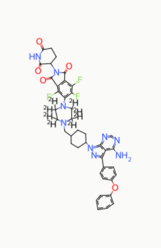 [2H]C1([2H])N(CC2CCC(n3nc(-c4ccc(Oc5ccccc5)cc4)c4c(N)ncnc43)CC2)C([2H])([2H])C([2H])([2H])N(c2c(F)c(F)c3c(c2F)C(=O)N(C2CCC(=O)NC2=O)C3=O)C1([2H])[2H]